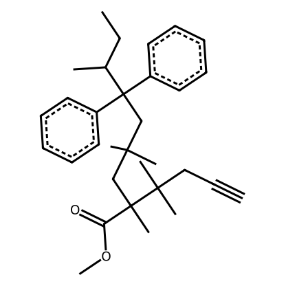 C#CCC(C)(C)C(C)(CC(C)(C)CC(c1ccccc1)(c1ccccc1)C(C)CC)C(=O)OC